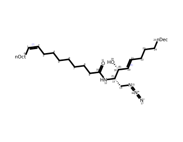 CCCCCCCC/C=C\CCCCCCCC(=O)N[C@@H](CN=[N+]=[N-])[C@H](O)/C=C/CCCCCCCCCCCCC